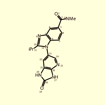 CNC(=O)c1ccc2c(c1)nc(C(C)C)n2-c1cnc2[nH]c(=O)[nH]c2c1